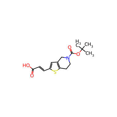 CC(C)(C)OC(=O)N1CCc2sc(/C=C/C(=O)O)cc2C1